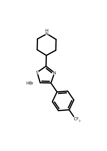 Br.FC(F)(F)c1ccc(-c2csc(C3CCNCC3)n2)cc1